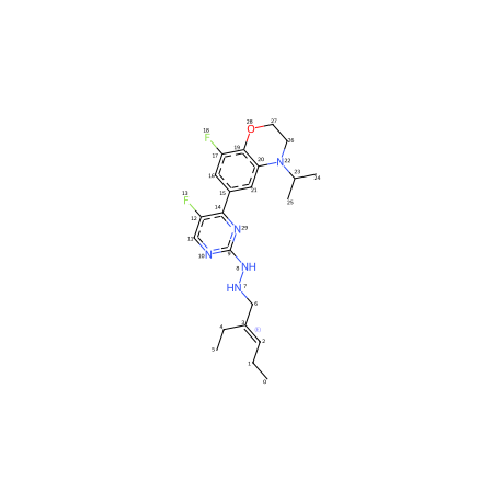 CC/C=C(\CC)CNNc1ncc(F)c(-c2cc(F)c3c(c2)N(C(C)C)CCO3)n1